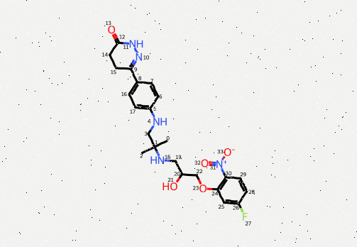 CC(C)(CNc1ccc(C2=NNC(=O)CC2)cc1)NCC(O)COc1cc(F)ccc1[N+](=O)[O-]